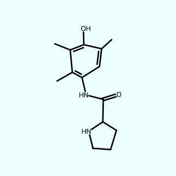 Cc1cc(NC(=O)C2CCCN2)c(C)c(C)c1O